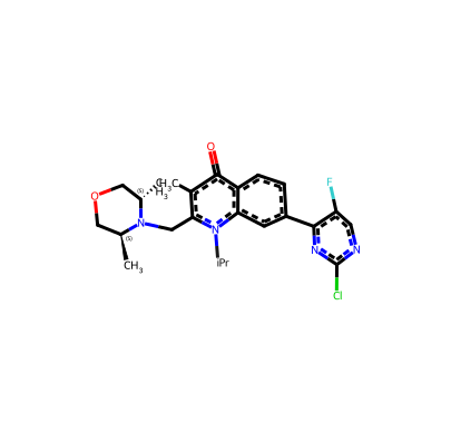 Cc1c(CN2[C@@H](C)COC[C@@H]2C)n(C(C)C)c2cc(-c3nc(Cl)ncc3F)ccc2c1=O